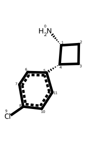 N[C@@H]1CC[C@@H]1c1ccc(Cl)cc1